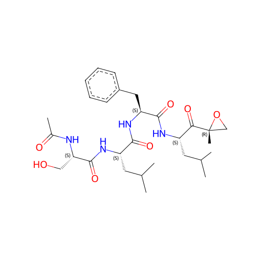 CC(=O)N[C@@H](CO)C(=O)N[C@@H](CC(C)C)C(=O)N[C@@H](Cc1ccccc1)C(=O)N[C@@H](CC(C)C)C(=O)[C@@]1(C)CO1